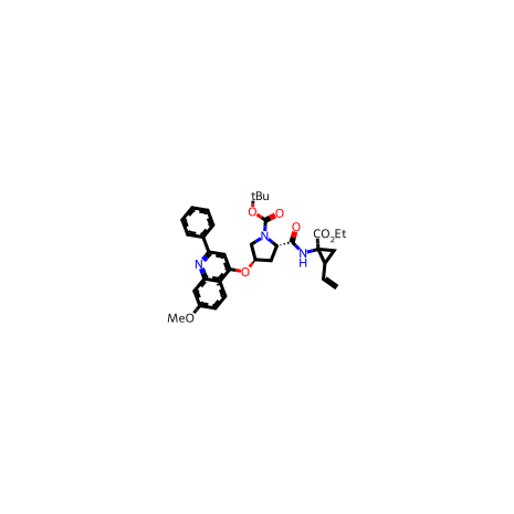 C=CC1CC1(NC(=O)[C@@H]1C[C@@H](Oc2cc(-c3ccccc3)nc3cc(OC)ccc23)CN1C(=O)OC(C)(C)C)C(=O)OCC